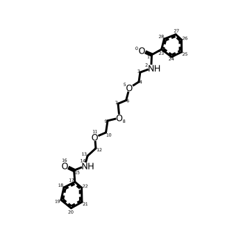 O=C(NCCOCCOCCOCCNC(=O)c1ccccc1)c1ccccc1